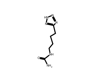 NC(=O)NCCCCc1nn[nH]n1